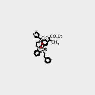 CCOC(=O)c1oc2ccc(S(=O)(=O)N(CCc3ccccc3)c3ccccc3N3CCN(C(=O)c4ccsc4)CC3)cc2c1C